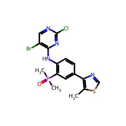 Cc1scnc1-c1ccc(Nc2nc(Cl)ncc2Br)c(P(C)(C)=O)c1